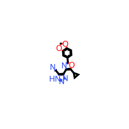 N#Cc1[nH]nnc1-c1nc(-c2ccc3c(c2)OCO3)oc1C1CC1